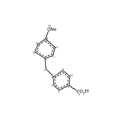 CCOC(=O)c1ccc(Cc2ccc(OC)cc2)cc1